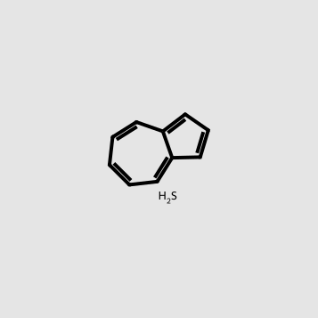 S.c1ccc2cccc-2cc1